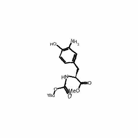 COC(=O)[C@H](Cc1ccc(O)c(N)c1)NC(=O)OC(C)(C)C